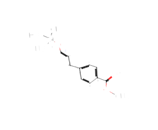 COC(=O)c1ccc(C/C=C/O[Si](C)(C)C)cc1